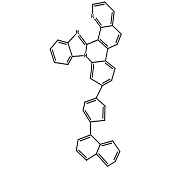 c1ccc2c(-c3ccc(-c4ccc5c6ccc7cccnc7c6c6nc7ccccc7n6c5c4)cc3)cccc2c1